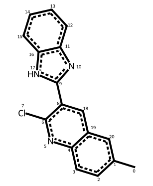 Cc1ccc2nc(Cl)c(-c3nc4ccccc4[nH]3)cc2c1